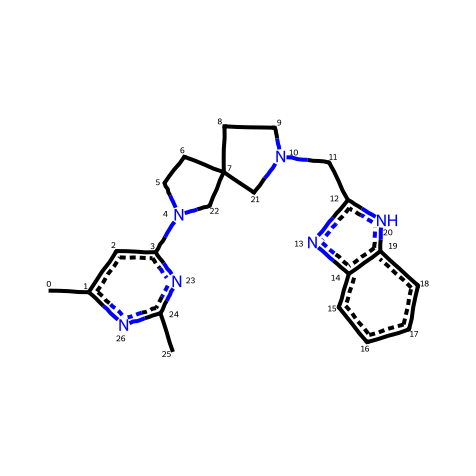 Cc1cc(N2CCC3(CCN(Cc4nc5ccccc5[nH]4)C3)C2)nc(C)n1